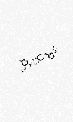 CC1(C)Cc2cccc(CN3CCC4(CC3)CCN(C(=O)c3ccc(Cl)cc3CC(=O)O)CC4)c2O1